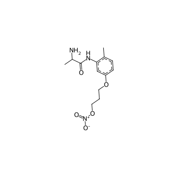 Cc1ccc(OCCCO[N+](=O)[O-])cc1NC(=O)C(C)N